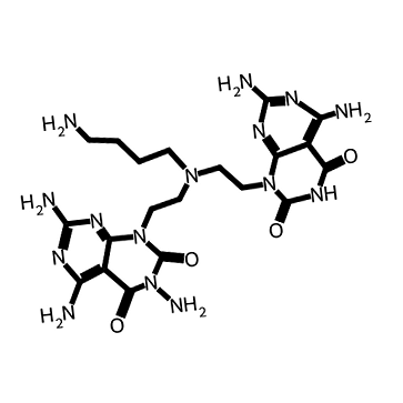 NCCCCN(CCn1c(=O)[nH]c(=O)c2c(N)nc(N)nc21)CCn1c(=O)n(N)c(=O)c2c(N)nc(N)nc21